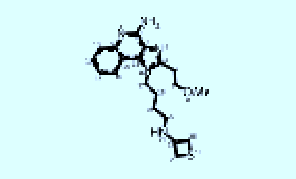 COCCc1nc2c(N)nc3ccccc3c2n1CCCCNC1CSC1